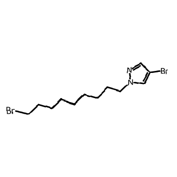 BrCCCCCCCCCn1cc(Br)cn1